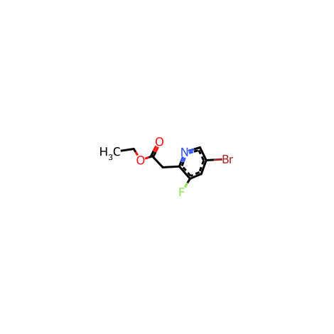 CCOC(=O)Cc1ncc(Br)cc1F